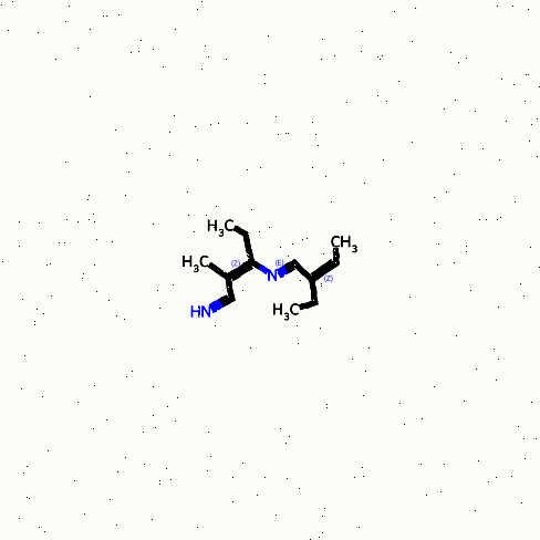 C\C=C(/C=N/C(CC)=C(/C)C=N)CC